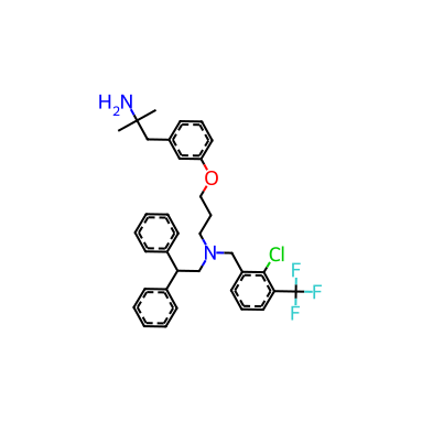 CC(C)(N)Cc1cccc(OCCCN(Cc2cccc(C(F)(F)F)c2Cl)CC(c2ccccc2)c2ccccc2)c1